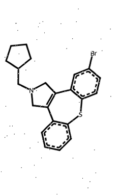 Brc1ccc2c(c1)C1=C(CN(CC3CCCC3)C1)c1ccccc1S2